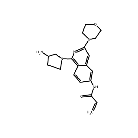 C=CC(=O)Nc1ccc2c(N3CCC(N)C3)nc(N3CCOCC3)cc2c1